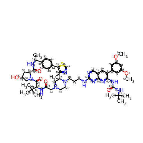 COc1cc(OC)cc(-c2cc3cnc(NCCCN4CCN(CC(=O)N[C@H](C(=O)N5C[C@H](O)C[C@H]5C(=O)N[C@H](C)c5ccc(-c6scnc6C)cc5)C(C)(C)C)CC4)nc3nc2NC(=O)NC(C)(C)C)c1